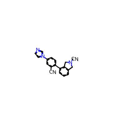 N#Cc1cc(-n2ccnc2)ccc1-c1cccc2c1CN(C#N)C2